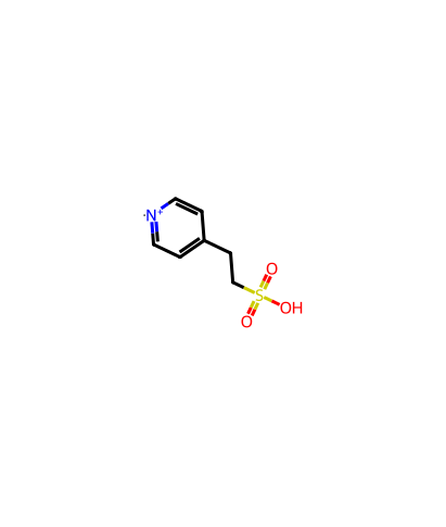 O=S(=O)(O)CCC1=CC=[N+]C=C1